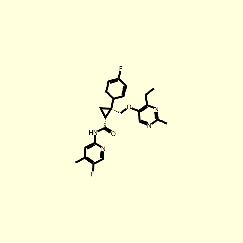 CCc1nc(C)ncc1OC[C@@]1(C2C=CC(F)=CC2)C[C@H]1C(=O)Nc1cc(C)c(F)cn1